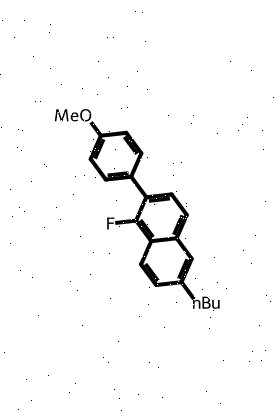 CCCCc1ccc2c(F)c(-c3ccc(OC)cc3)ccc2c1